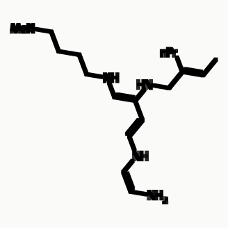 C/C=C(\CCC)CNC(=C\NCCCCNC)/C=C/N/C=C\N